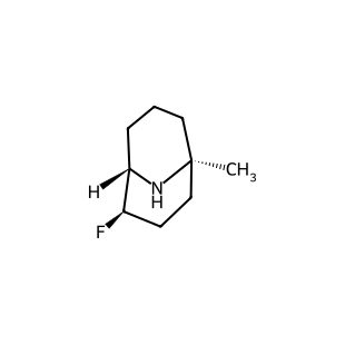 C[C@@]12CCC[C@H](N1)[C@H](F)CC2